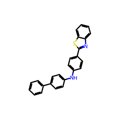 c1ccc(-c2ccc(Nc3ccc(-c4nc5ccccc5s4)cc3)cc2)cc1